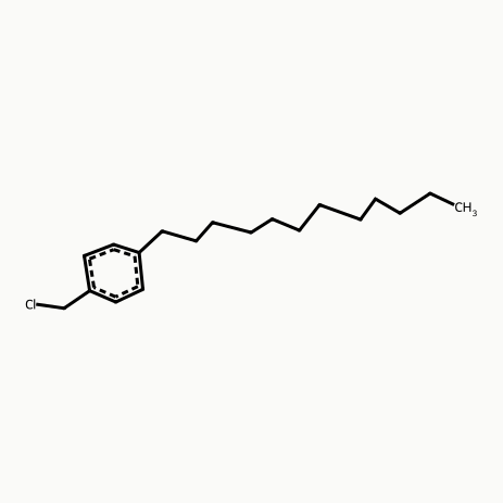 CCCCCCCCCCCCc1ccc(CCl)cc1